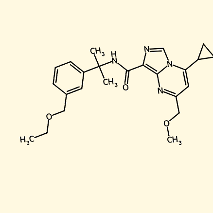 CCOCc1cccc(C(C)(C)NC(=O)c2ncn3c(C4CC4)cc(COC)nc23)c1